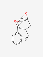 C=CC1CCC2OC2(C2OC2c2ccccc2)C1